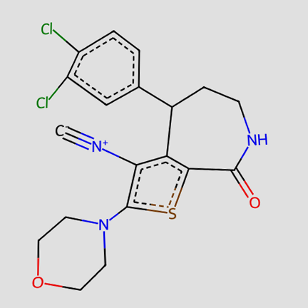 [C-]#[N+]c1c(N2CCOCC2)sc2c1C(c1ccc(Cl)c(Cl)c1)CCNC2=O